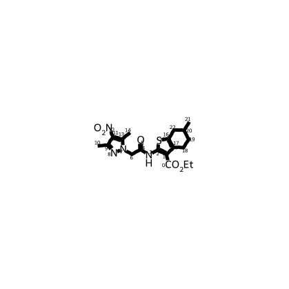 CCOC(=O)c1c(NC(=O)Cn2nc(C)c([N+](=O)[O-])c2C)sc2c1CCC(C)C2